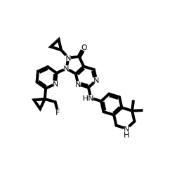 CC1(C)CNCc2cc(Nc3ncc4c(=O)n(C5CC5)n(-c5cccc(C6(CF)CC6)n5)c4n3)ccc21